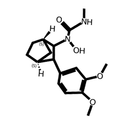 CNC(=O)N(O)C1C(c2ccc(OC)c(OC)c2)[C@H]2CC[C@H]1C2